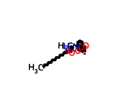 C=C(C)C(=O)OCCCCCCCCCCCCCC.Nc1ccccc1.O=C1C=CC(=O)O1